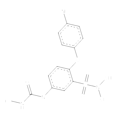 CC(C)NC(=O)Nc1ccc(Oc2ccc(N)cc2)c(S(=O)(=O)N(C)C)c1